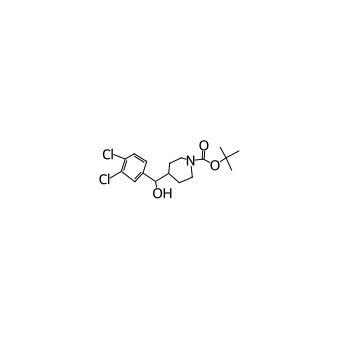 CC(C)(C)OC(=O)N1CCC(C(O)c2ccc(Cl)c(Cl)c2)CC1